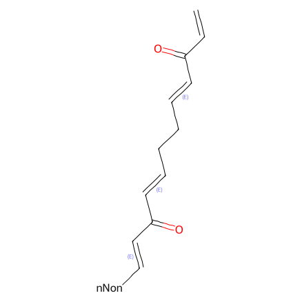 C=CC(=O)/C=C/CC/C=C/C(=O)/C=C/CCCCCCCCC